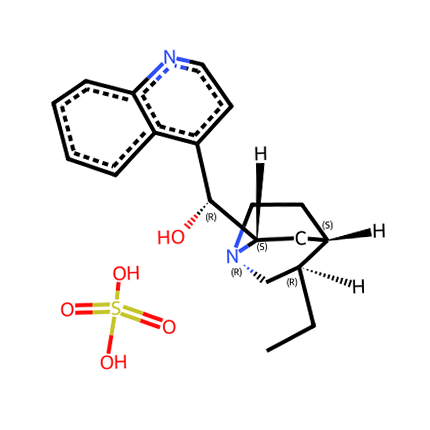 CC[C@H]1C[N@]2CC[C@H]1C[C@H]2[C@H](O)c1ccnc2ccccc12.O=S(=O)(O)O